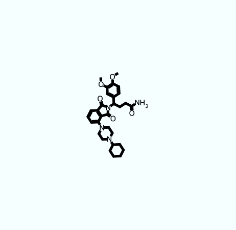 COc1ccc(C(CCC(N)=O)N2C(=O)c3cccc(N4CCN(C5CCCCC5)CC4)c3C2=O)cc1OC